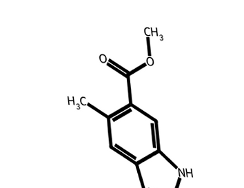 COC(=O)c1cc2[nH]ccc2cc1C